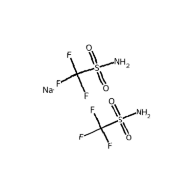 NS(=O)(=O)C(F)(F)F.NS(=O)(=O)C(F)(F)F.[Na]